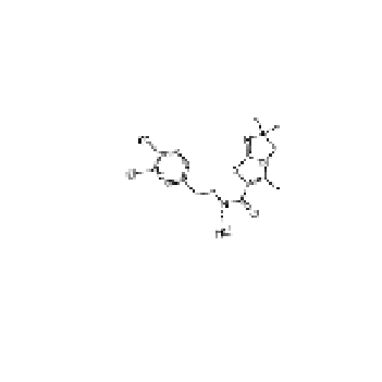 CC1=C(C(=O)N(C)CCc2ccc(Cl)c(Cl)c2)SC2=NC(C)(C)CN21.Cl